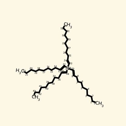 CCCCCCCCCC=C[N+](C=CCCCCCCCCC)(C=CCCCCCCCCC)C=CCCCCCCCCC